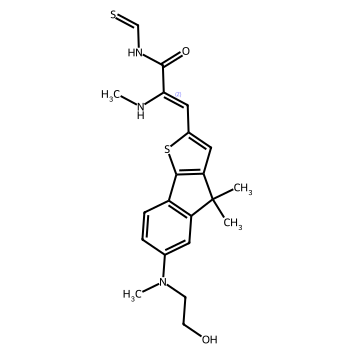 CN/C(=C\c1cc2c(s1)-c1ccc(N(C)CCO)cc1C2(C)C)C(=O)NC=S